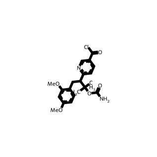 COc1ccc(CC(c2ccc(C(=O)Cl)cn2)C(C)(C)OC(N)=O)c(OC)c1